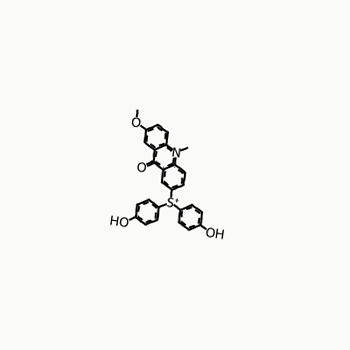 COc1ccc2c(c1)c(=O)c1cc([S+](c3ccc(O)cc3)c3ccc(O)cc3)ccc1n2C